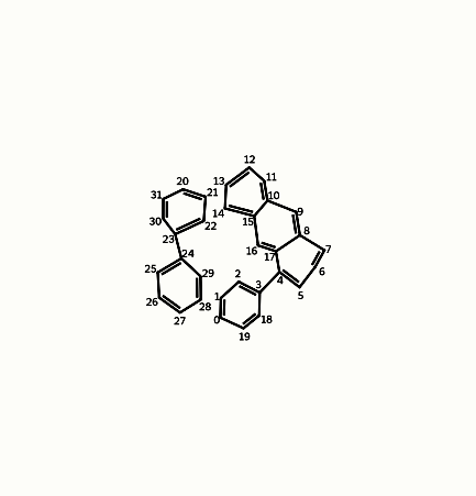 c1ccc(-c2cccc3cc4ccccc4cc23)cc1.c1ccc(-c2ccccc2)cc1